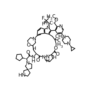 CO[C@@H](C)c1ncc(N2CCN(C3CC3)CC2)cc1-c1c2c3cc(ccc3n1CC(F)(F)F)N1CCO[C@@H](C[C@H](NC(=O)[C@H](C3CCCC3)N3CC[C@]4(CCNC4)C3)C(=O)N3CCC[C@H](N3)C(=O)OCC(C)(C)C2)C1